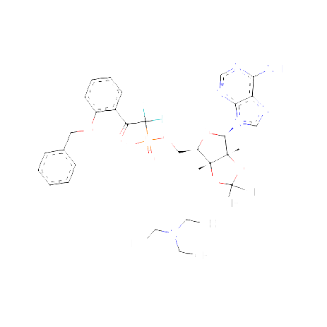 CC1(C)O[C@@H]2[C@H](O1)[C@@H](COP(=O)(O)C(F)(F)C(=O)c1ccccc1OCc1ccccc1)O[C@H]2n1cnc2c(N)ncnc21.CCN(CC)CC